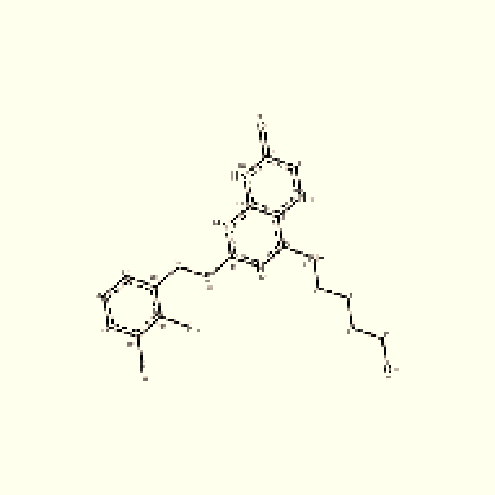 O=c1cnc2c(NCCCCO)nc(SCc3cccc(F)c3F)nc2[nH]1